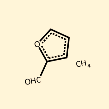 C.O=Cc1ccco1